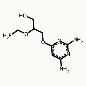 Nc1cc(OCC(CO)OCP)nc(N)n1